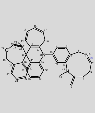 C=C1CC/C=N\Cc2ccc(N3C4=C(C=CC=CC4)C4(c5ccccc5COc5ccccc54)c4ccccc43)cc2N1C